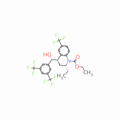 CCOC(=O)N1c2ccc(C(F)(F)F)cc2[C@H]([C@@H](O)c2cc(C(F)(F)F)cc(C(F)(F)F)c2)C[C@H]1CC